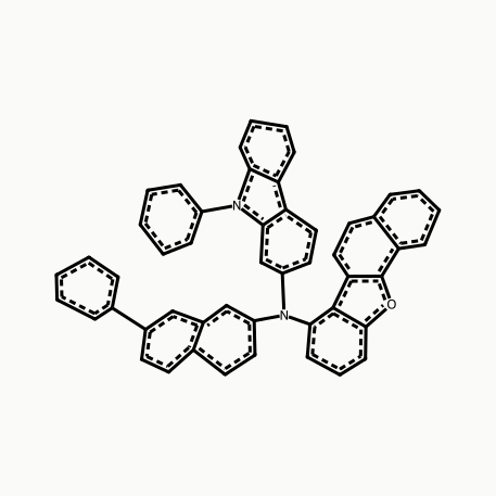 c1ccc(-c2ccc3ccc(N(c4ccc5c6ccccc6n(-c6ccccc6)c5c4)c4cccc5oc6c7ccccc7ccc6c45)cc3c2)cc1